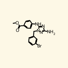 COC(=O)c1ccc(Nc2nc(N)nn2Cc2cccc(Br)c2)cc1